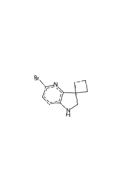 Brc1ccc2c(n1)C1(CCC1)CN2